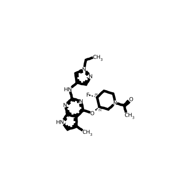 CCn1cc(Nc2nc(O[C@H]3CN(C(C)=O)CC[C@H]3F)c3c(C)c[nH]c3n2)cn1